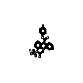 Cc1ccc(OC(=O)C2c3ccccc3N(CC(=O)OS(=O)(=O)C(F)(F)F)c3ccccc32)cc1